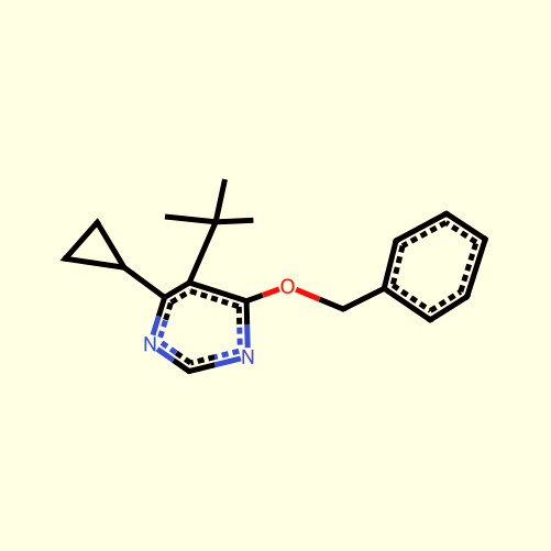 CC(C)(C)c1c(OCc2ccccc2)ncnc1C1CC1